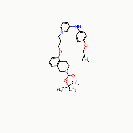 C=CCOc1ccc(Nc2ccc[n+](CCCOc3cccc4c3CCN(C(=O)OC(C)(C)C)C4)c2)cc1